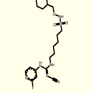 N#C/N=C(\NCCCCCCS(=O)(=O)NOCC1CCCCC1)Nc1ccnc(F)c1